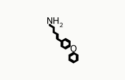 NCCCC=Cc1ccc(Oc2ccccc2)cc1